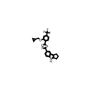 FC(F)(F)c1ccc(-c2nc(-c3ccc4[nH]c5c(c4c3)CC[CH]5)no2)c(OCC2CC2)c1